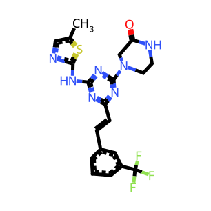 Cc1cnc(Nc2nc(/C=C/c3cccc(C(F)(F)F)c3)nc(N3CCNC(=O)C3)n2)s1